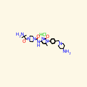 Cc1cc(NC(=O)N2CCN(C(=O)C(C)(C)N)CC2)nc(=O)n1-c1ccc(CN2CCC(N)CC2)cc1.Cl